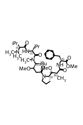 CC[C@H](C)[C@@H](C(CC(=O)N1CCC[C@H]1[C@H](OC)[C@@H](C)C(=O)N[C@@H](Cc1ccccc1)C(=O)OC)OC)N(C)C(=O)[C@@H](NC(=O)[C@H](C(C)C)N(C)C)C(C)C